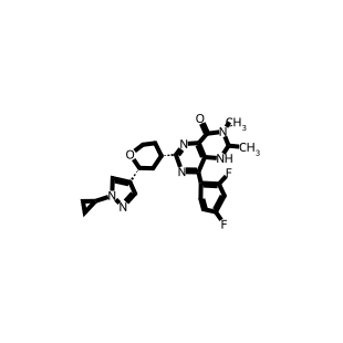 CC1Nc2c(nc([C@H]3CCO[C@@H](c4cnn(C5CC5)c4)C3)nc2-c2ccc(F)cc2F)C(=O)N1C